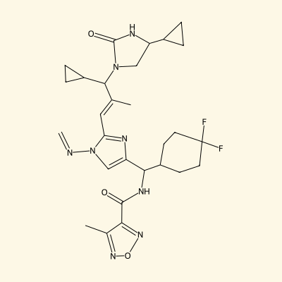 C=Nn1cc(C(NC(=O)c2nonc2C)C2CCC(F)(F)CC2)nc1/C=C(\C)C(C1CC1)N1CC(C2CC2)NC1=O